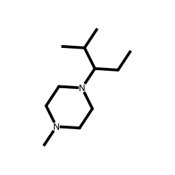 CCC(C(C)C)N1CCN(C)CC1